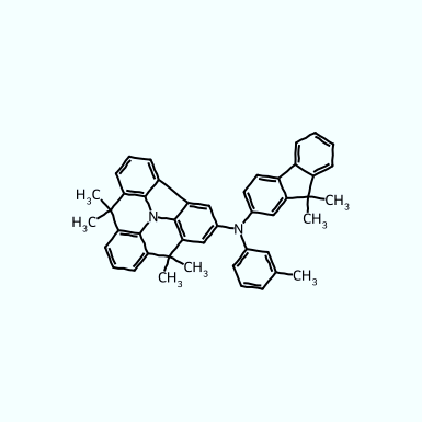 Cc1cccc(N(c2ccc3c(c2)C(C)(C)c2ccccc2-3)c2cc3c4c(c2)c2cccc5c2n4-c2c(cccc2C3(C)C)C5(C)C)c1